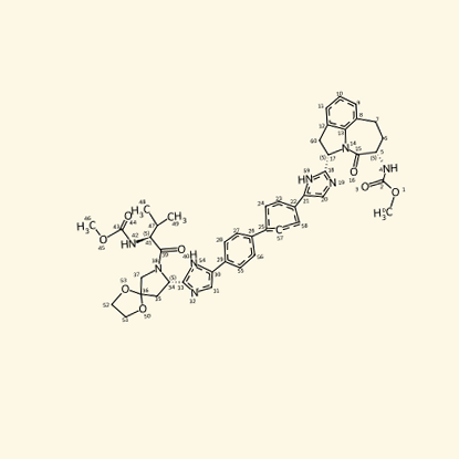 COC(=O)N[C@H]1CCc2cccc3c2N(C1=O)[C@H](c1ncc(-c2ccc(-c4ccc(-c5cnc([C@@H]6CC7(CN6C(=O)[C@@H](NC(=O)OC)C(C)C)OCCO7)[nH]5)cc4)cc2)[nH]1)C3